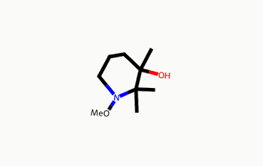 CON1CCCC(C)(O)C1(C)C